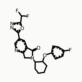 O=C1c2cc(-c3nnc(C(F)F)o3)cnc2CN1C1CCCCC1Oc1ccc(F)cc1